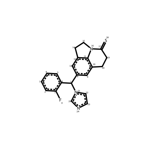 Fc1ccccc1C(c1cc2c3c(c1)CCN3C(=S)CC2)n1ccnc1